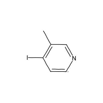 Cc1cn[c]cc1I